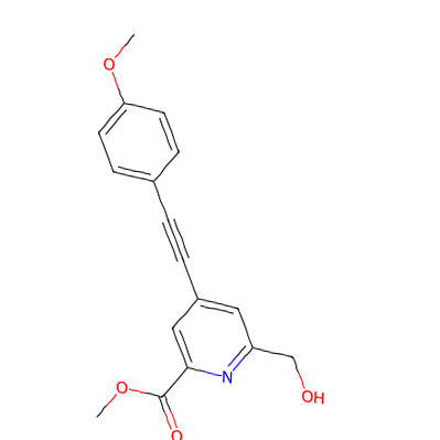 COC(=O)c1cc(C#Cc2ccc(OC)cc2)cc(CO)n1